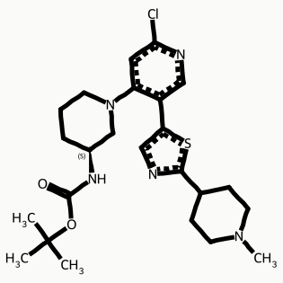 CN1CCC(c2ncc(-c3cnc(Cl)cc3N3CCC[C@H](NC(=O)OC(C)(C)C)C3)s2)CC1